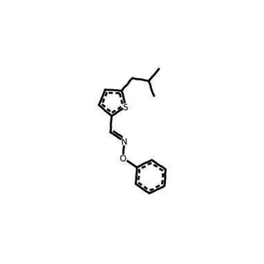 CC(C)Cc1ccc(C=NOc2ccccc2)s1